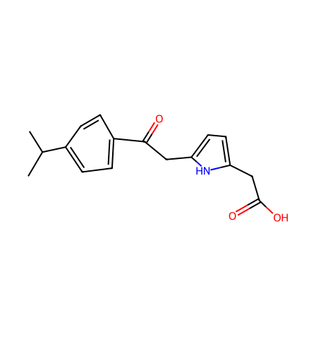 CC(C)c1ccc(C(=O)Cc2ccc(CC(=O)O)[nH]2)cc1